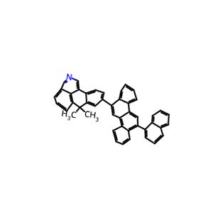 CC1(C)c2cc(-c3cc4c5ccccc5c(-c5cccc6ccccc56)cc4c4ccccc34)ccc2-c2cncc3cccc1c23